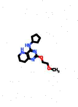 COCCOc1nc2c(c(NC3CCCC3)n1)NCCC2